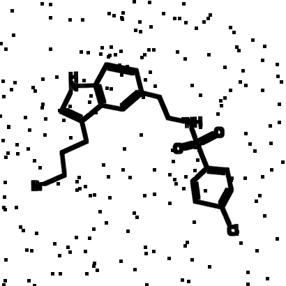 O=S(=O)(NCCc1ccc2[nH]cc(CCCBr)c2c1)c1ccc(Cl)cc1